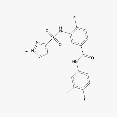 Cc1cc(NC(=O)c2ccc(F)c(NS(=O)(=O)c3ccn(C)n3)c2)ccc1F